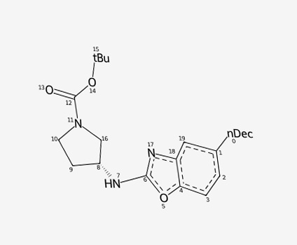 CCCCCCCCCCc1ccc2oc(N[C@@H]3CCN(C(=O)OC(C)(C)C)C3)nc2c1